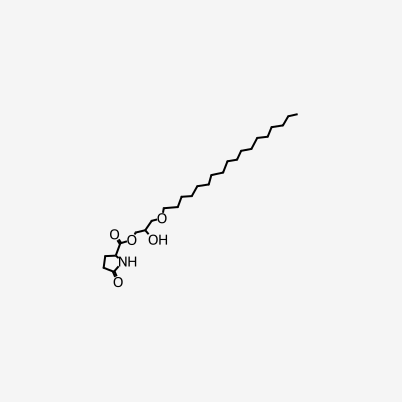 CCCCCCCCCCCCCCCCCCOCC(O)COC(=O)C1CCC(=O)N1